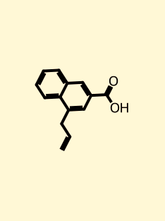 C=CCc1cc(C(=O)O)cc2ccccc12